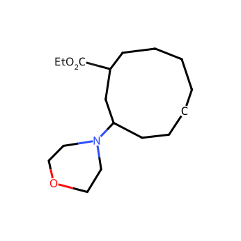 CCOC(=O)C1CCCCCCCC(N2CCOCC2)C1